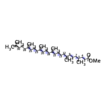 COC(=O)/C=C/C(C)=C/C=C/C(C)=C/C=C/C=C(C)/C=C/C=C(C)/C=C/C=C(\C)CCC=C(C)C